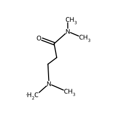 [CH2]N(C)CCC(=O)N(C)C